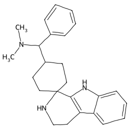 CN(C)C(c1ccccc1)C1CCC2(CC1)NCCc1c2[nH]c2ccccc12